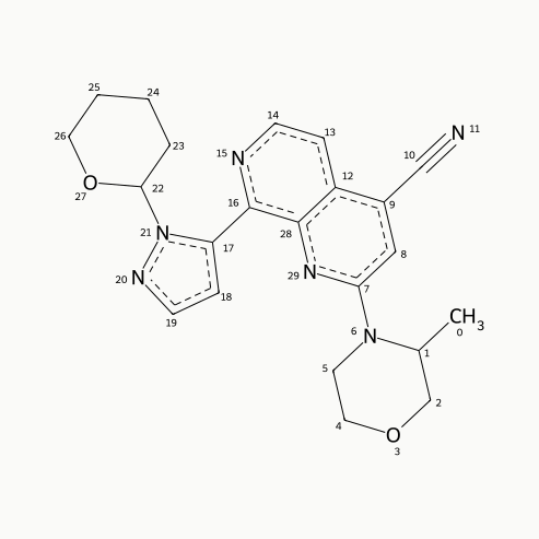 CC1COCCN1c1cc(C#N)c2ccnc(-c3ccnn3C3CCCCO3)c2n1